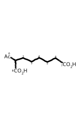 CC(=O)C(CCCCCC(=O)O)C(=O)O